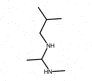 CNC(C)NCC(C)C